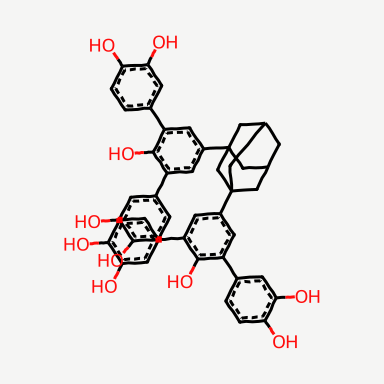 Oc1ccc(-c2cc(C34CC5CC(C3)CC(c3cc(-c6ccc(O)c(O)c6)c(O)c(-c6ccc(O)c(O)c6)c3)(C5)C4)cc(-c3ccc(O)c(O)c3)c2O)cc1O